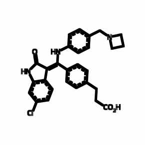 O=C(O)CCc1ccc(/C(Nc2ccc(CN3CCC3)cc2)=C2/C(=O)Nc3cc(Cl)ccc32)cc1